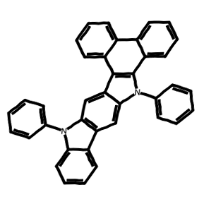 c1ccc(-n2c3ccccc3c3cc4c(cc32)c2c3ccccc3c3ccccc3c2n4-c2ccccc2)cc1